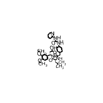 COc1ccc([C@H](CC(=O)O)NC(=O)[C@H](CC(C)C)NC(=O)Cc2ccc(NC(=O)Nc3ccccn3)cc2)cc1OC